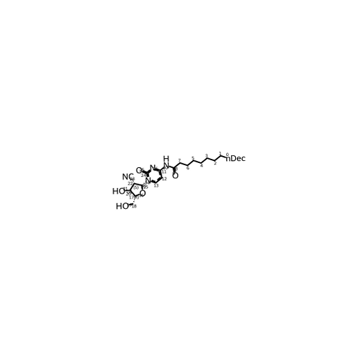 CCCCCCCCCCCCCCCCCC(=O)Nc1ccn([C@@H]2O[C@H](CO)[C@@H](O)[C@@H]2C#N)c(=O)n1